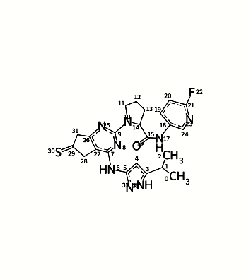 CC(C)c1cc(Nc2nc(N3CCCC3C(=O)Nc3ccc(F)nc3)nc3c2CC(=S)C3)n[nH]1